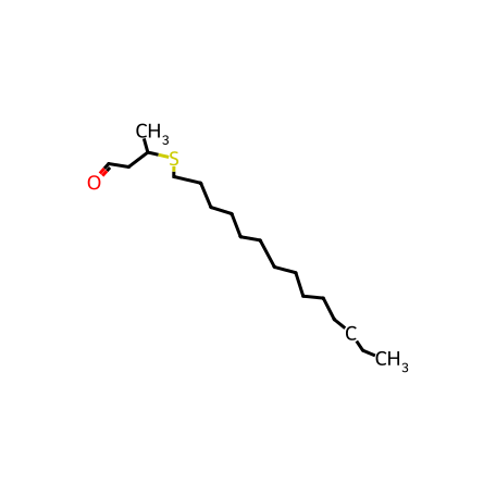 CCCCCCCCCCCCCCSC(C)CC=O